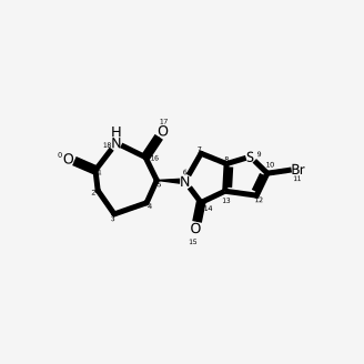 O=C1CCC[C@H](N2Cc3sc(Br)cc3C2=O)C(=O)N1